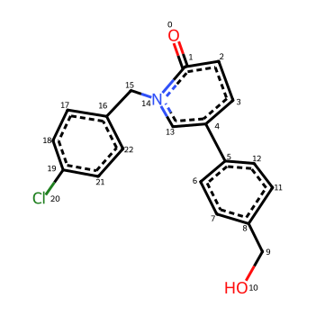 O=c1ccc(-c2ccc(CO)cc2)cn1Cc1ccc(Cl)cc1